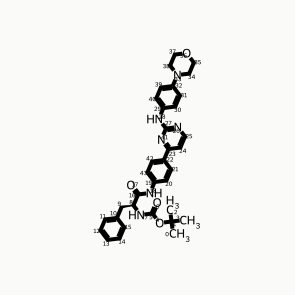 CC(C)(C)OC(=O)N[C@@H](Cc1ccccc1)C(=O)Nc1ccc(-c2ccnc(Nc3ccc(N4CCOCC4)cc3)n2)cc1